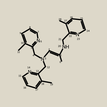 C/C(=C\N(Cc1ncccc1C)Cc1ncccc1C)NCc1ncccc1C